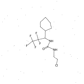 O=C(NCCCl)NC(C1CCCCC1)C(F)(F)C(F)(F)F